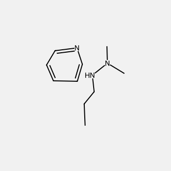 CCCNN(C)C.c1ccncc1